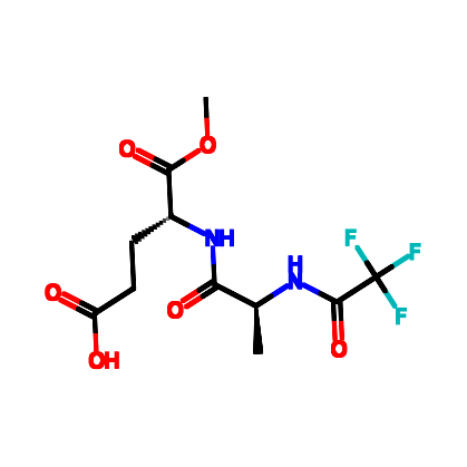 COC(=O)[C@@H](CCC(=O)O)NC(=O)[C@H](C)NC(=O)C(F)(F)F